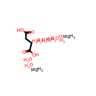 O.O.O.O.O.O.O.O.O=C(O)CCC(=O)O.[MgH2].[MgH2]